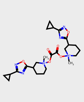 C[N+]1(OC(=O)C(=O)O[N+]2(C)CCCC(c3nc(C4CC4)no3)C2)CCCC(c2nc(C3CC3)no2)C1